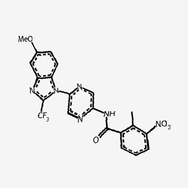 COc1ccc2c(c1)nc(C(F)(F)F)n2-c1cnc(NC(=O)c2cccc([N+](=O)[O-])c2C)cn1